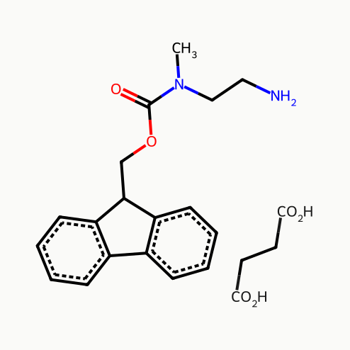 CN(CCN)C(=O)OCC1c2ccccc2-c2ccccc21.O=C(O)CCC(=O)O